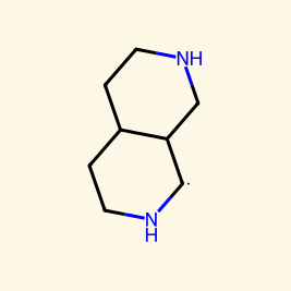 [CH]1NCCC2CCNCC12